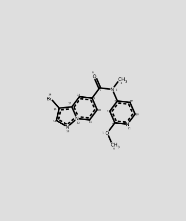 COc1cc(N(C)C(=O)c2ccn3ncc(Br)c3c2)ccn1